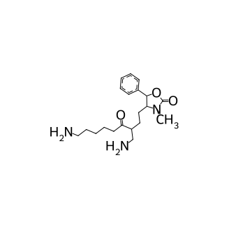 CN1C(=O)OC(c2ccccc2)C1CCC(CN)C(=O)CCCCCN